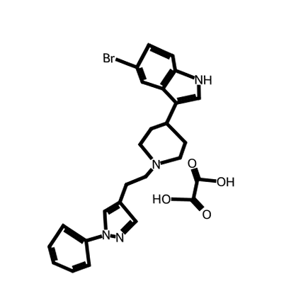 Brc1ccc2[nH]cc(C3CCN(CCc4cnn(-c5ccccc5)c4)CC3)c2c1.O=C(O)C(=O)O